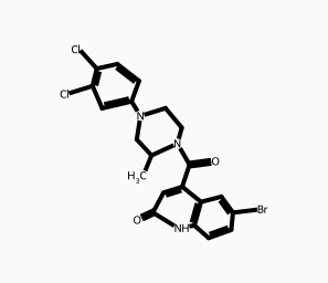 CC1CN(c2ccc(Cl)c(Cl)c2)CCN1C(=O)c1cc(=O)[nH]c2ccc(Br)cc12